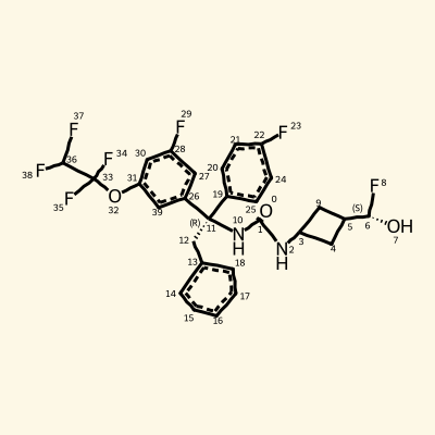 O=C(NC1CC([C@@H](O)F)C1)N[C@](Cc1ccccc1)(c1ccc(F)cc1)c1cc(F)cc(OC(F)(F)C(F)F)c1